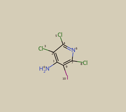 Nc1c(Cl)c(Cl)nc(Cl)c1I